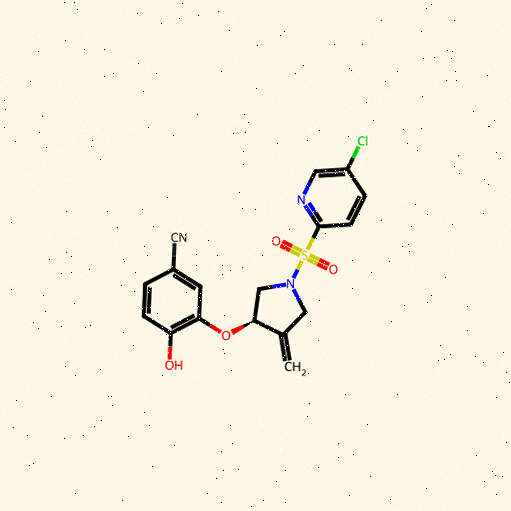 C=C1CN(S(=O)(=O)c2ccc(Cl)cn2)C[C@@H]1Oc1cc(C#N)ccc1O